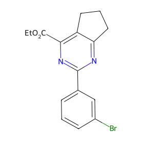 CCOC(=O)c1nc(-c2cccc(Br)c2)nc2c1CCC2